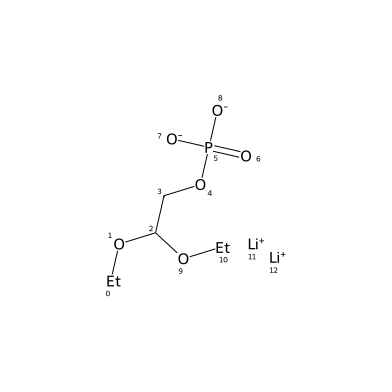 CCOC(COP(=O)([O-])[O-])OCC.[Li+].[Li+]